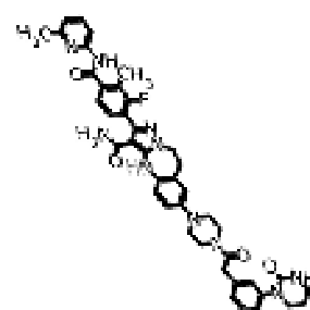 Cc1cccc(NC(=O)c2ccc(-c3nn4c(c3C(N)=O)Nc3ccc(N5CCN(C(=O)Cc6cccc(N7CCC(=O)NC7=O)c6)CC5)cc3CC4)c(F)c2C)n1